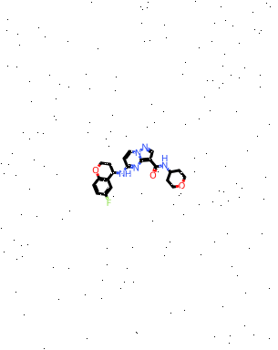 O=C(NC1CCOCC1)c1cnn2ccc(NC3CCOc4ccc(F)cc43)nc12